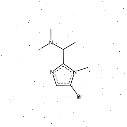 CC(c1ncc(Br)n1C)N(C)C